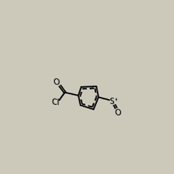 O=[S+]c1ccc(C(=O)Cl)cc1